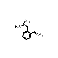 C=Cc1ccccc1CN(C)C